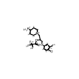 NC1CCN(CC(COc2ccc(Cl)c(F)c2)OC(=O)C(F)(F)F)CC1